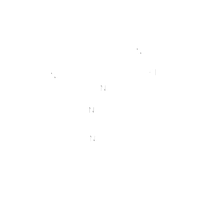 Clc1cc(-c2cc3cnccc3c(N3CCN(C4CC4)CC3)n2)ccn1